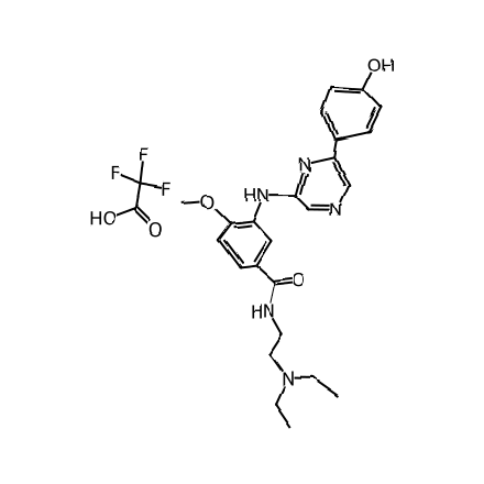 CCN(CC)CCNC(=O)c1ccc(OC)c(Nc2cncc(-c3ccc(O)cc3)n2)c1.O=C(O)C(F)(F)F